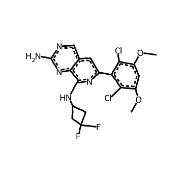 COc1cc(OC)c(Cl)c(-c2cc3cnc(N)nc3c(NC3CC(F)(F)C3)n2)c1Cl